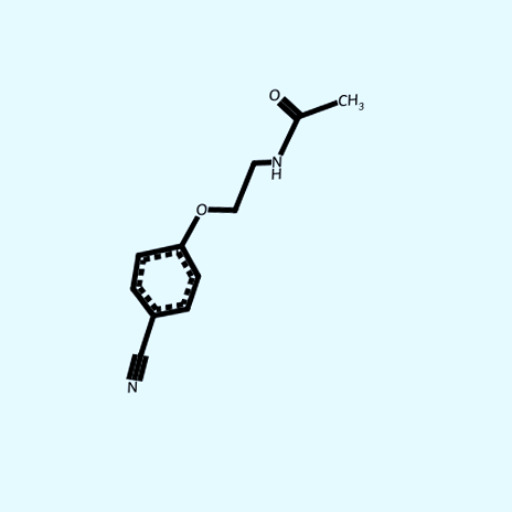 CC(=O)NCCOc1ccc(C#N)cc1